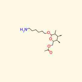 CC(=O)OCC1O[C@@H](OCCCCCCN)C(C)[C@@H](C)[C@H]1C